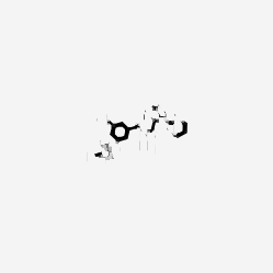 CC(NC(=O)c1cc(Cl)cc(OS(=O)(=O)C(F)(F)F)c1)c1ncnn1-c1ncccn1